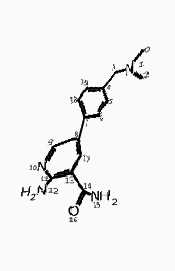 CN(C)Cc1ccc(-c2cnc(N)c(C(N)=O)c2)cc1